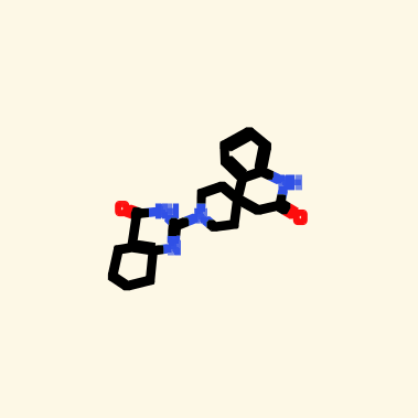 O=C1CC2(CCN(c3nc4c(c(=O)[nH]3)CCCC4)CC2)c2ccccc2N1